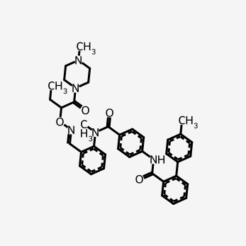 CCC(ON=Cc1ccccc1N(C)C(=O)c1ccc(NC(=O)c2ccccc2-c2ccc(C)cc2)cc1)C(=O)N1CCN(C)CC1